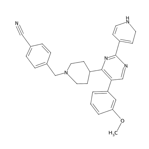 COc1cccc(-c2cnc(C3=CCNC=C3)nc2C2CCN(Cc3ccc(C#N)cc3)CC2)c1